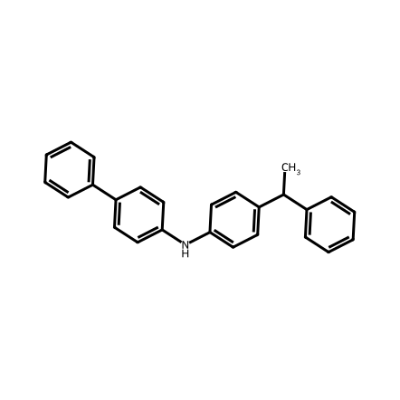 CC(c1ccccc1)c1ccc(Nc2ccc(-c3ccccc3)cc2)cc1